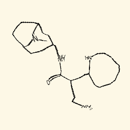 CN1C2CCC1CC(NC(=O)C(CN)C1CCCCN1)C2